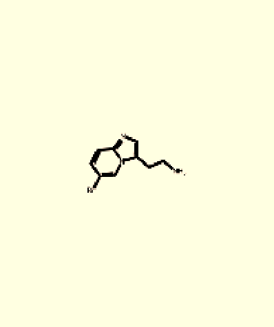 NCCc1cnc2ccc(Br)cn12